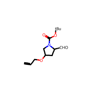 C=CCOC1CC(C=O)N(C(=O)OC(C)(C)C)C1